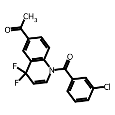 CC(=O)c1ccc2c(c1)C(F)(F)C=CN2C(=O)c1cccc(Cl)c1